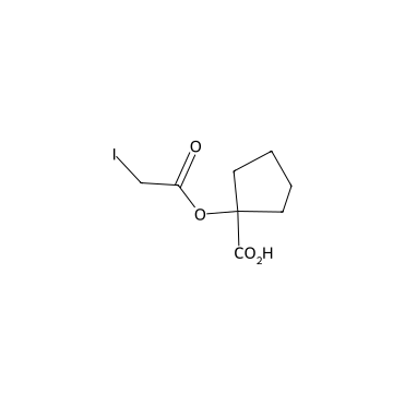 O=C(CI)OC1(C(=O)O)CCCC1